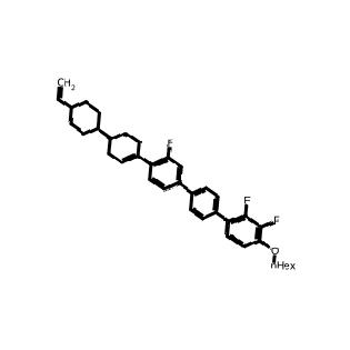 C=CC1CCC(C2CC=C(c3ccc(-c4ccc(-c5ccc(OCCCCCC)c(F)c5F)cc4)cc3F)CC2)CC1